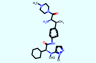 CCn1nccc1N(C=O)[C@H](C(=O)Nc1ccc([C@H](C)[C@@H](N)C(=O)N2CCN(C)CC2)cc1)C1CCCCC1